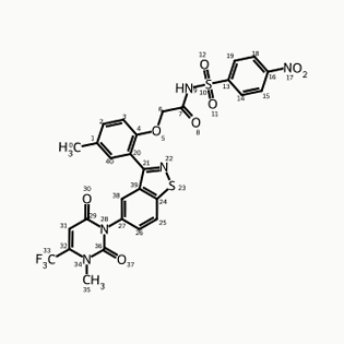 Cc1ccc(OCC(=O)NS(=O)(=O)c2ccc([N+](=O)[O-])cc2)c(-c2nsc3ccc(-n4c(=O)cc(C(F)(F)F)n(C)c4=O)cc23)c1